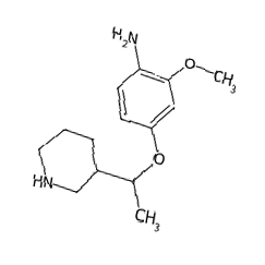 COc1cc(OC(C)C2CCCNC2)ccc1N